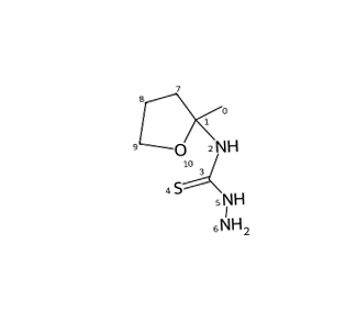 CC1(NC(=S)NN)CCCO1